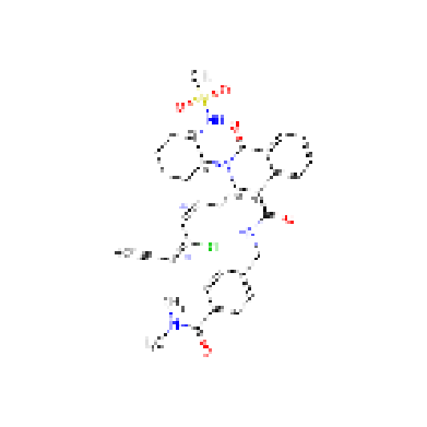 C#C/C=C(Cl)\C=C/C[C@H]1[C@H](C(=O)NCc2ccc(C(=O)N(C)C)cc2)c2ccccc2C(=O)N1[C@H]1CCCC[C@@H]1NS(C)(=O)=O